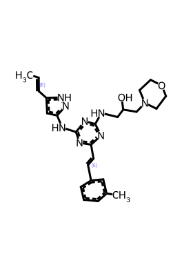 C/C=C/c1cc(Nc2nc(/C=C/c3cccc(C)c3)nc(NCC(O)CN3CCOCC3)n2)n[nH]1